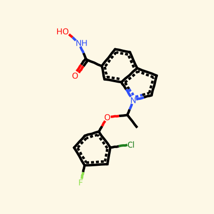 CC(Oc1ccc(F)cc1Cl)n1ccc2ccc(C(=O)NO)cc21